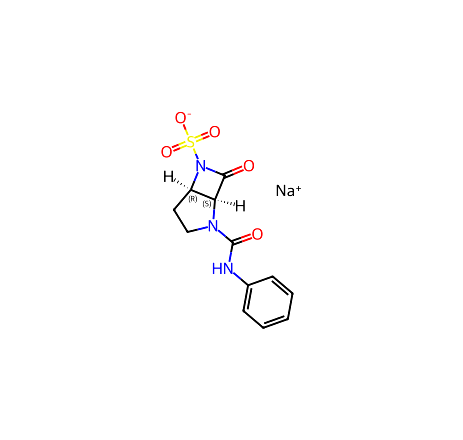 O=C(Nc1ccccc1)N1CC[C@@H]2[C@H]1C(=O)N2S(=O)(=O)[O-].[Na+]